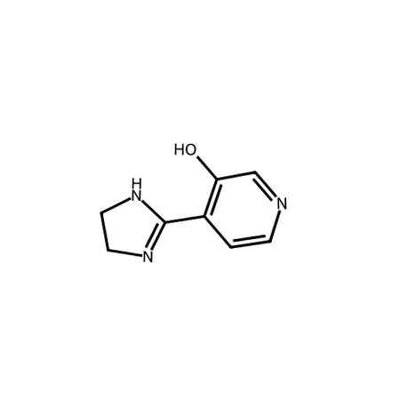 Oc1cnccc1C1=NCCN1